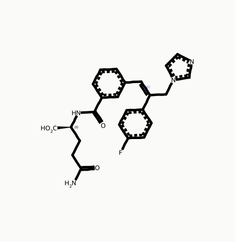 NC(=O)CC[C@H](NC(=O)c1cccc(/C=C(/Cn2ccnc2)c2ccc(F)cc2)c1)C(=O)O